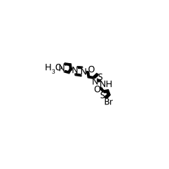 CN1CCC(N2CCN(C(=O)Cc3csc(NC(=O)c4ccc(Br)s4)n3)CC2)CC1